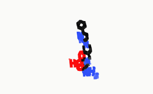 NC(=O)CN(CC1CCN(c2ccc(-c3ccccc3)nn2)CC1)C(=O)O